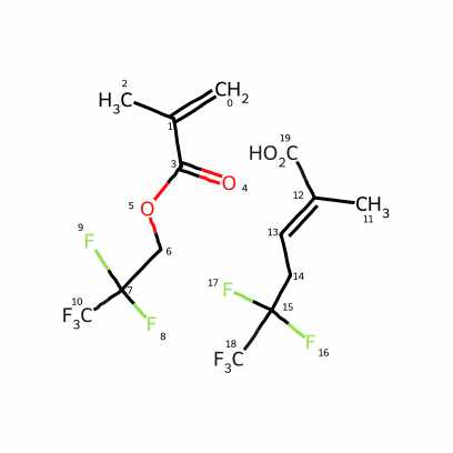 C=C(C)C(=O)OCC(F)(F)C(F)(F)F.CC(=CCC(F)(F)C(F)(F)F)C(=O)O